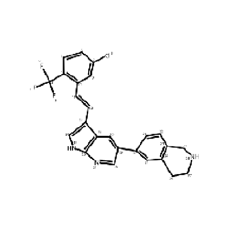 FC(F)(F)c1ccc(Cl)cc1/C=C/c1c[nH]c2ncc(-c3ccc4c(c3)CCNC4)cc12